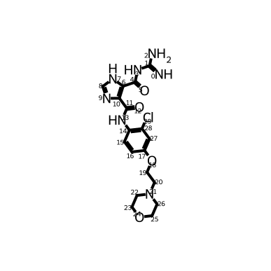 N=C(N)NC(=O)c1[nH]cnc1C(=O)Nc1ccc(OCCN2CCOCC2)cc1Cl